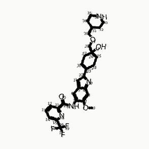 COc1cc2c(cc1NC(=O)c1cccc(C(F)(F)F)n1)=CC(C1CCC(O)(COCC3CCNCC3)CC1)N=2